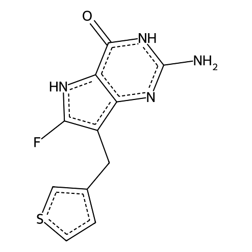 Nc1nc2c(Cc3ccsc3)c(F)[nH]c2c(=O)[nH]1